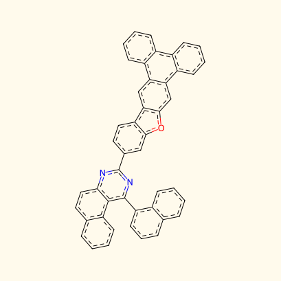 c1ccc2c(-c3nc(-c4ccc5c(c4)oc4cc6c7ccccc7c7ccccc7c6cc45)nc4ccc5ccccc5c34)cccc2c1